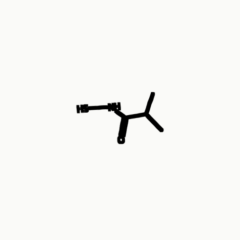 CC(C)C(=O)NS